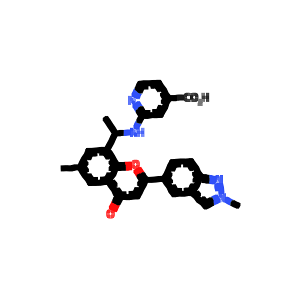 Cc1cc(C(C)Nc2cc(C(=O)O)ccn2)c2oc(-c3ccc4nn(C)cc4c3)cc(=O)c2c1